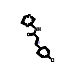 O=C(/C=C/c1ccc(Cl)cc1)Nc1cnccn1